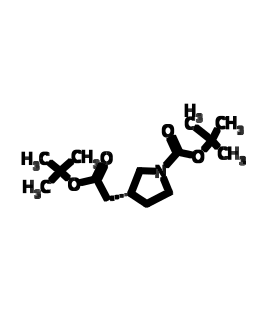 CC(C)(C)OC(=O)C[C@H]1CCN(C(=O)OC(C)(C)C)C1